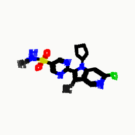 CC(C)NS(=O)(=O)c1cnc(-c2c(C#N)c3cnc(Cl)cc3n2C2CCCC2)nc1